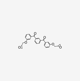 O=C(c1cccc(OCC2CO2)c1)c1cccc(C(=O)c2cccc(OCC3CO3)c2)c1